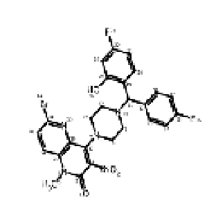 Cn1c(=O)c([N+](=O)[O-])c(N2CCN(C(c3ccc(F)cc3)c3ccc(F)cc3O)CC2)c2nc(Br)ccc21